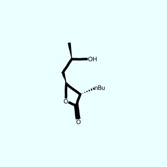 CCCC[C@@H]1C(=O)O[C@H]1C[C@@H](C)O